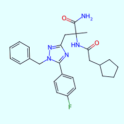 CC(Cc1nc(-c2ccc(F)cc2)n(Cc2ccccc2)n1)(NC(=O)CC1CCCC1)C(N)=O